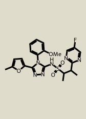 COc1ccccc1-n1c(NS(=O)(=O)C(C)C(C)c2ncc(F)cn2)nnc1-c1ccc(C)o1